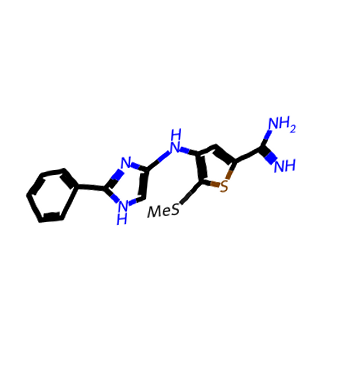 CSc1sc(C(=N)N)cc1Nc1c[nH]c(-c2ccccc2)n1